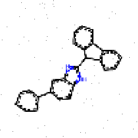 c1ccc(-c2ccc3[nH]c(C4c5ccccc5-c5ccccc54)nc3c2)cc1